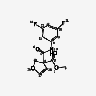 COC(=O)C1(C(=O)Nc2cc(F)cc(F)c2)C=COC1